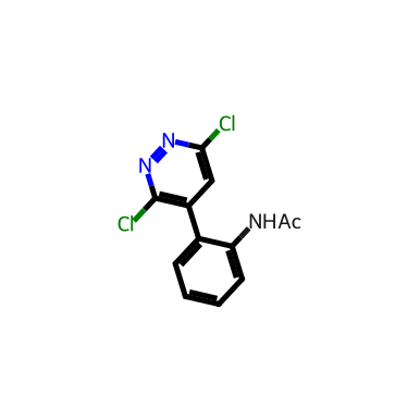 CC(=O)Nc1ccccc1-c1cc(Cl)nnc1Cl